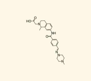 CC1c2cc(NC(=O)c3ccc(C=NN4CCN(C)CC4)cc3)ccc2CCN1CC(=O)O